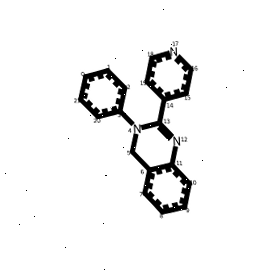 c1ccc(N2Cc3ccccc3N=C2c2ccncc2)cc1